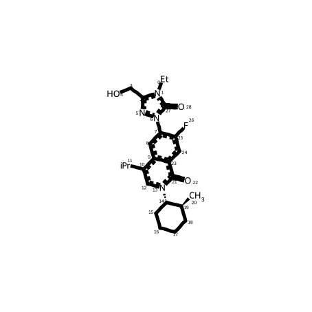 CCn1c(CO)nn(-c2cc3c(C(C)C)cn([C@H]4CCCC[C@@H]4C)c(=O)c3cc2F)c1=O